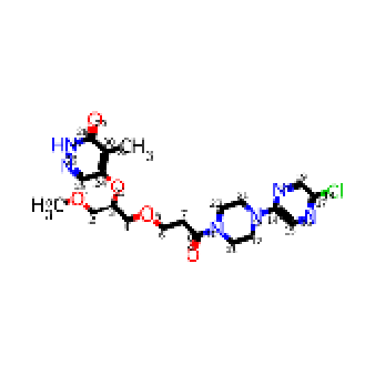 COC[C@H](COCCC(=O)N1CCN(c2cnc(Cl)cn2)CC1)Oc1cn[nH]c(=O)c1C